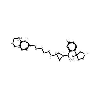 CC1(c2ccc(F)cc2C(C(=O)O)N2CC(OCCCCCc3ccc4c(n3)NCCC4)C2)CCOC1